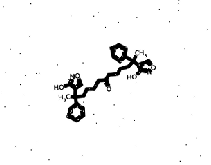 CC(CCCCC(=O)CCCCC(C)(c1ccccc1)c1conc1O)(c1ccccc1)c1conc1O